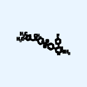 Cc1cc(CN(C)C2CCN(S(=O)(=O)c3ccc(-c4cnc(N)nc4-c4ccc(F)cc4)cc3)CC2)sc1C